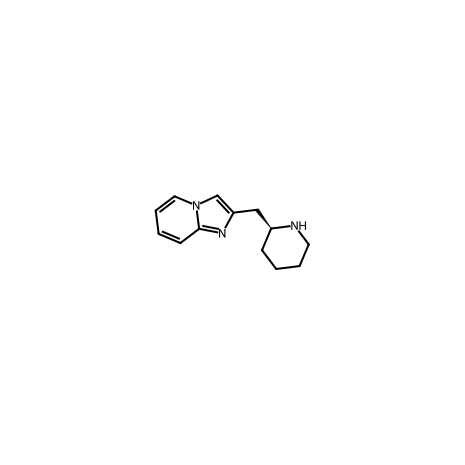 c1ccn2cc(C[C@@H]3CCCCN3)nc2c1